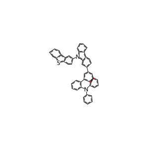 c1ccc(N(c2ccccc2)c2ccccc2-c2cccc(-c3ccc4c5ccccc5n(-c5ccc6sc7ccccc7c6c5)c4c3)c2)cc1